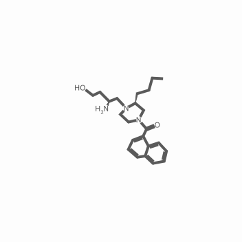 CCCC[C@H]1CN(C(=O)c2cccc3ccccc23)CCN1C[C@@H](N)CCO